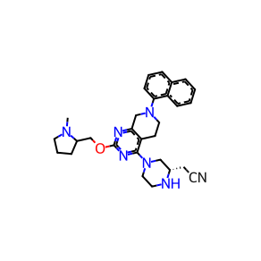 CN1CCCC1COc1nc2c(c(N3CCN[C@@H](CC#N)C3)n1)CCN(c1cccc3ccccc13)C2